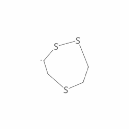 [CH]1CSCCSS1